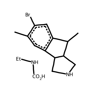 CCNC(=O)O.Cc1cc2c(cc1Br)C(C)C1CNCC21